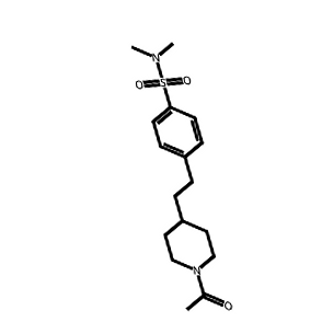 CC(=O)N1CCC(CCc2ccc(S(=O)(=O)N(C)C)cc2)CC1